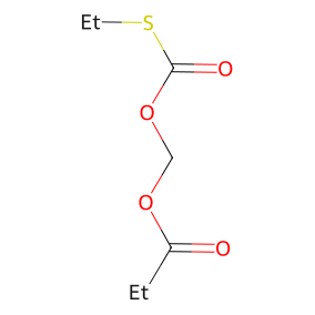 CCSC(=O)OCOC(=O)CC